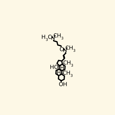 CN(C)CCCCON(C)C/C=C/C1CC[C@@]2(O)[C@@H]3CCC4CC(O)CC[C@]4(C)[C@@H]3CC[C@]12C